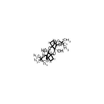 CC(C)(C)NC(=O)[C@@]1(O)OC2(CCC2)[C@@](O)(C(=O)NC(C)(C)C)OC12CCC2